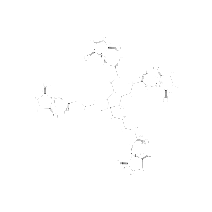 O=C(CCCCC(CCCCC(=O)ON1C(=O)CCC1=O)(CCCCC(=O)ON1C(=O)CCC1=O)CCCCC(=O)ON1C(=O)CCC1=O)ON1C(=O)C=CC1=O